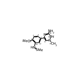 COc1ccc(C2=CN(C)BC(N)=N2)cc1NSC